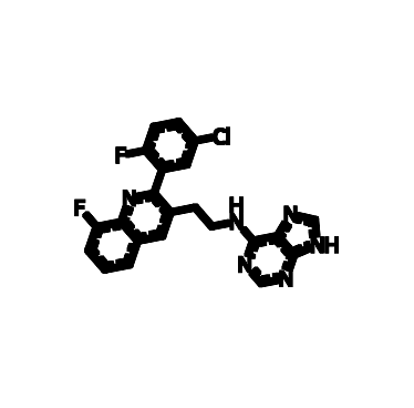 Fc1ccc(Cl)cc1-c1nc2c(F)cccc2cc1CCNc1ncnc2[nH]cnc12